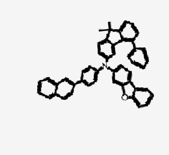 CC1(C)c2ccc(N(c3ccc(-c4ccc5ccccc5c4)cc3)c3ccc4c(c3)oc3ccccc34)cc2-c2c(-c3ccccc3)cccc21